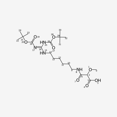 COC(C(=O)O)C(=O)NCCCCCCN/C(=N/C(=O)OC(C)(C)C)NC(=O)OC(C)(C)C